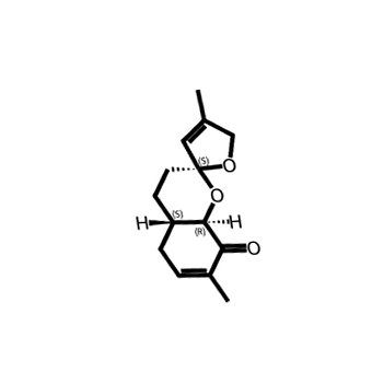 CC1=C[C@@]2(CC[C@H]3CC=C(C)C(=O)[C@@H]3O2)OC1